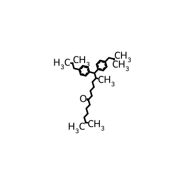 CC(C)CCCCC(=O)CCCCC(C)C(c1ccc(CC(C)C)cc1)c1ccc(CC(C)C)cc1